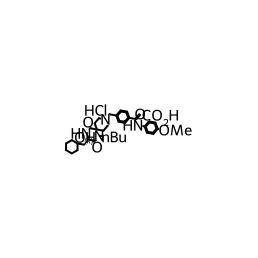 CCCCN1C(=O)[C@@H](CC2(O)CCCCC2)NC(=O)C12CCN(Cc1ccc(C(=O)Nc3ccc(OC)cc3C(=O)O)cc1)CC2.Cl